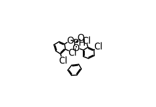 O=[PH](Oc1cccc(Cl)c1Cl)Oc1cccc(Cl)c1Cl.c1ccccc1